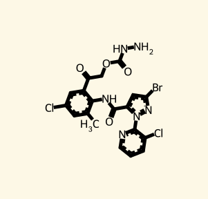 Cc1cc(Cl)cc(C(=O)COC(=O)NN)c1NC(=O)c1cc(Br)nn1-c1ncccc1Cl